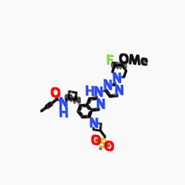 CC#CC(=O)N[C@H]1CC[C@@H]1c1ccc(N2CC(CS(C)(=O)=O)C2)c2cnc(Nc3ccnc(N4CC[C@@H](OC)[C@@H](F)C4)n3)cc12